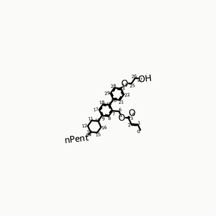 C/C=C/C(=O)OCc1cc(C2CCC(CCCCC)CC2)ccc1-c1ccc(OCCO)cc1